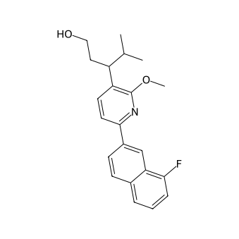 COc1nc(-c2ccc3cccc(F)c3c2)ccc1C(CCO)C(C)C